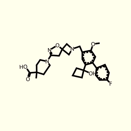 COc1cc(-c2ccc(F)cc2)c(C2(O)CCC2)cc1CN1CC2(CC(N3CCC(C)(C(=O)O)CC3)=NO2)C1